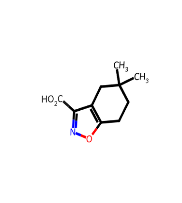 CC1(C)CCc2onc(C(=O)O)c2C1